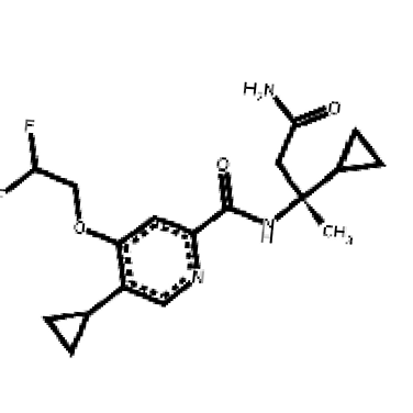 C[C@](CC(N)=O)(NC(=O)c1cc(OCC(F)F)c(C2CC2)cn1)C1CC1